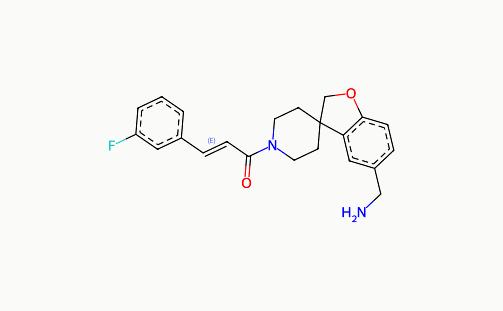 NCc1ccc2c(c1)C1(CCN(C(=O)/C=C/c3cccc(F)c3)CC1)CO2